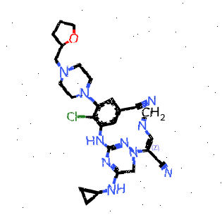 C=N/C=C(/C#N)N1CC(NC2CC2)=NC(Nc2cc(C#N)cc(N3CCN(CC4CCCO4)CC3)c2Cl)=N1